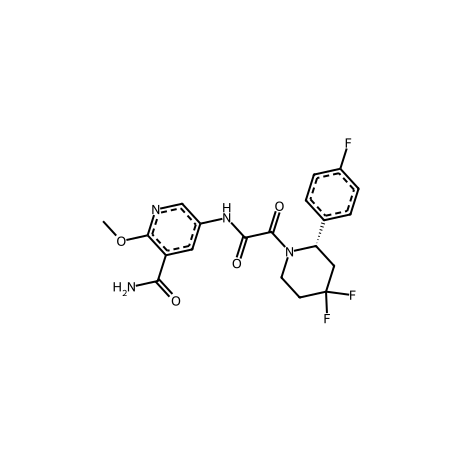 COc1ncc(NC(=O)C(=O)N2CCC(F)(F)C[C@H]2c2ccc(F)cc2)cc1C(N)=O